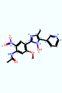 COc1cc(NC(C)=O)c([N+](=O)[O-])cc1-c1nc(C)c(-c2cccnc2)n1O